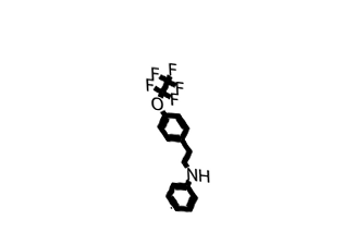 FC(F)(F)C(F)(F)Oc1ccc(CCNc2cc[c]cc2)cc1